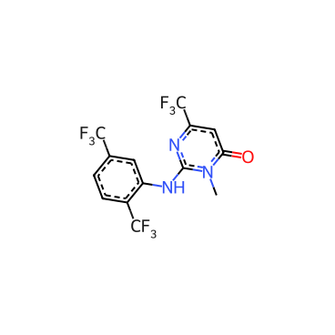 Cn1c(Nc2cc(C(F)(F)F)ccc2C(F)(F)F)nc(C(F)(F)F)cc1=O